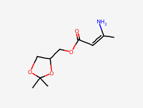 C/C(N)=C/C(=O)OCC1COC(C)(C)O1